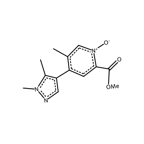 COC(=O)c1cc(-c2cnn(C)c2C)c(C)c[n+]1[O-]